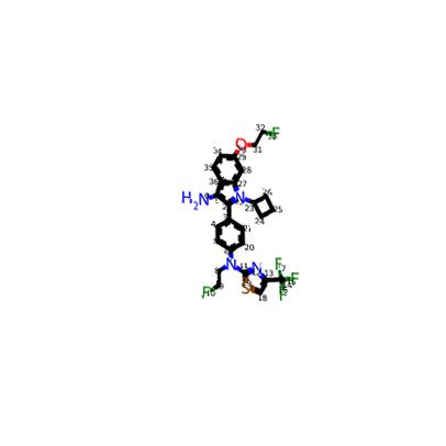 Nc1c(-c2ccc(N(CCF)c3nc(C(F)(F)F)cs3)cc2)n(C2CCC2)c2cc(OCCF)ccc12